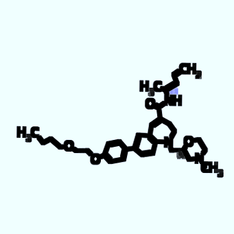 C=C/C=C(\C)NC(=O)C1=Cc2cc(-c3ccc(OCCOCCCC)cc3)ccc2N(C[C@@H]2CN(C)CCO2)CC1